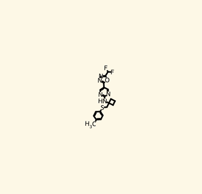 Cc1ccc(SCC2(Nc3ncc(-c4nnc(C(F)F)o4)cn3)CCC2)cc1